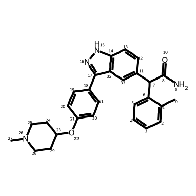 Cc1ccccc1C(C(N)=O)c1ccc2[nH]nc(-c3ccc(OC4CCN(C)CC4)cc3)c2c1